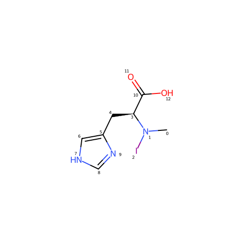 CN(I)[C@@H](Cc1c[nH]cn1)C(=O)O